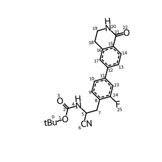 CC(C)(C)OC(=O)NC(C#N)Cc1ccc(-c2ccc3c(c2)CCNC3=O)cc1F